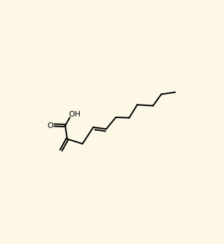 C=C(CC=CCCCCCC)C(=O)O